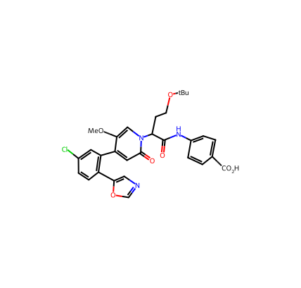 COc1cn(C(CCOC(C)(C)C)C(=O)Nc2ccc(C(=O)O)cc2)c(=O)cc1-c1cc(Cl)ccc1-c1cnco1